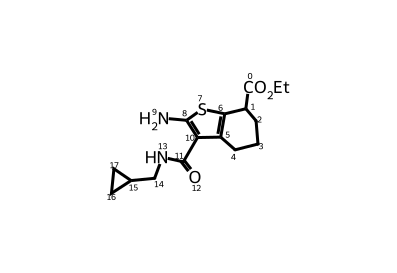 CCOC(=O)C1CCCc2c1sc(N)c2C(=O)NCC1CC1